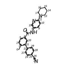 Cc1ccc(C(=O)Nc2ccc(N3CCCCC3)nc2)cc1-c1ccc(C#N)cc1